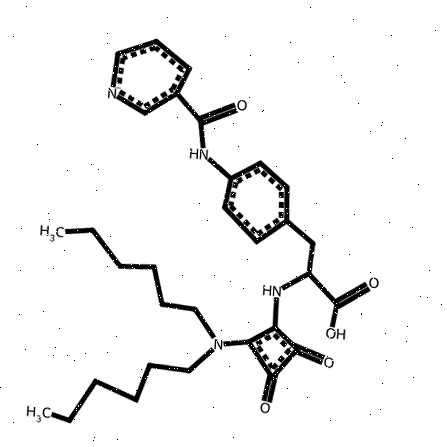 CCCCCCN(CCCCCC)c1c(NC(Cc2ccc(NC(=O)c3cccnc3)cc2)C(=O)O)c(=O)c1=O